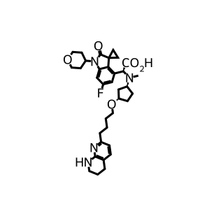 CN([C@H]1CC[C@H](OCCCCc2ccc3c(n2)NCCC3)C1)[C@H](C(=O)O)c1cc(F)cc2c1C1(CC1)C(=O)N2C1CCOCC1